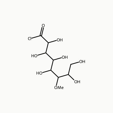 COC(C(O)CO)C(O)C(O)C(O)C(O)C(=O)Cl